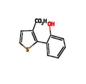 O=C(O)c1ccsc1-c1ccccc1O